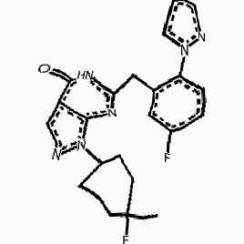 CC1(F)CCC(n2ncc3c(=O)[nH]c(Cc4cc(F)ccc4-n4cccn4)nc32)CC1